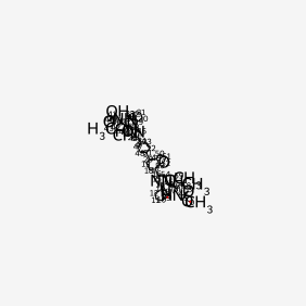 COC(=O)N[C@H](C(=O)N1CC2CCC1(c1nc(-c3ccc(-c4ccc(-c5c[nH]c(C67CCC(CN6C(=O)[C@@H](NC(=O)O)C(C)C)C7)n5)cc4)c4ccoc34)c[nH]1)C2)C(C)C